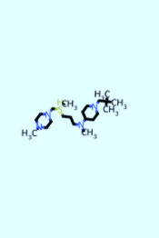 CN1CCN(C[SH](C)CCCN(C)C2CCN(CC(C)(C)C)CC2)CC1